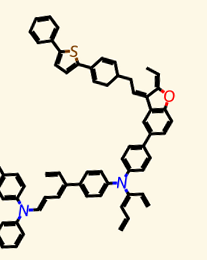 C=C/C=C(\C=C)N(c1ccc(/C(C=C)=C/C=C/N(c2ccccc2)c2ccc(C)cc2)cc1)c1ccc(-c2ccc3oc(=C/C)/c(=C\CC4C=CC(c5ccc(-c6ccccc6)s5)=CC4)c3c2)cc1